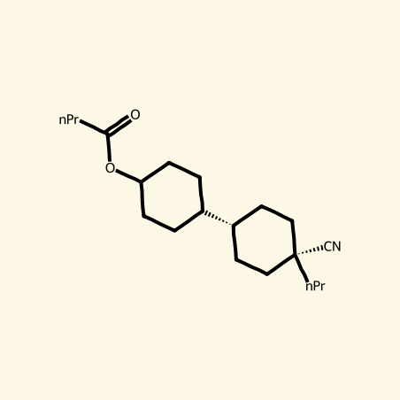 CCCC(=O)OC1CCC([C@H]2CC[C@](C#N)(CCC)CC2)CC1